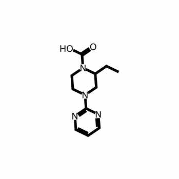 CCC1CN(c2ncccn2)CCN1C(=O)O